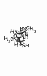 CCN[C@@](F)(CS)C(=O)NC(F)(CS)C(=O)NC